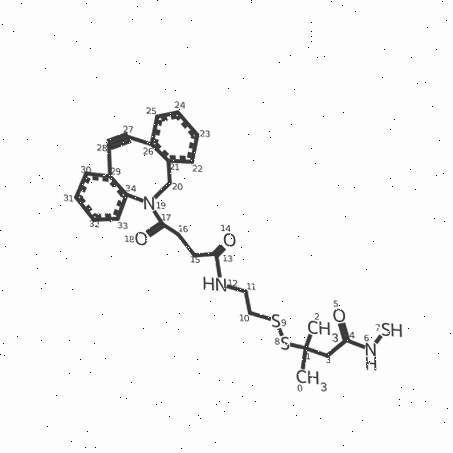 CC(C)(CC(=O)NS)SSCCNC(=O)CCC(=O)N1Cc2ccccc2C#Cc2ccccc21